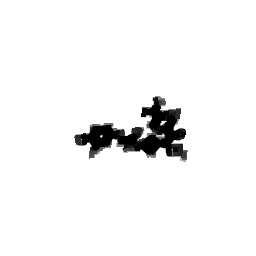 CN(C(=O)C1CNC(C(F)F)C=N1)C12CC(NC(=O)COc3ccc(Cl)c(F)c3)(C1)C2